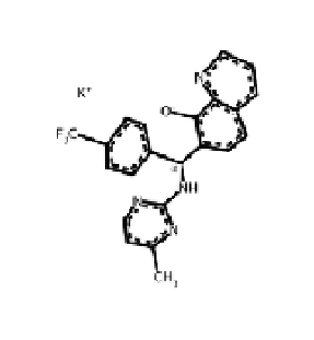 Cc1ccnc(N[C@@H](c2ccc(C(F)(F)F)cc2)c2ccc3cccnc3c2[O-])n1.[K+]